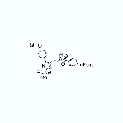 CCCCCc1ccc(S(=O)(=O)NCCc2sc(NC(=O)CCC)nc2-c2ccc(OC)cc2)cc1